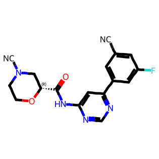 N#Cc1cc(F)cc(-c2cc(NC(=O)[C@H]3CN(C#N)CCO3)ncn2)c1